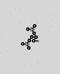 N#Cc1ccccc1-c1cccc(-c2ccc(-c3nc(-c4ccccc4)nc(-c4ccccc4)n3)cc2)c1-c1cccc(-c2ccc(-c3nc(-c4ccccc4)nc(-c4ccccc4)n3)cc2)c1